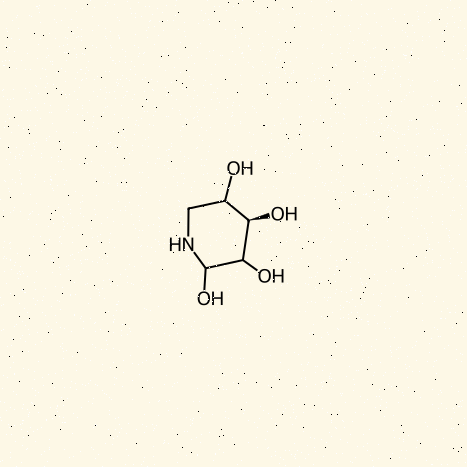 OC1NCC(O)[C@@H](O)C1O